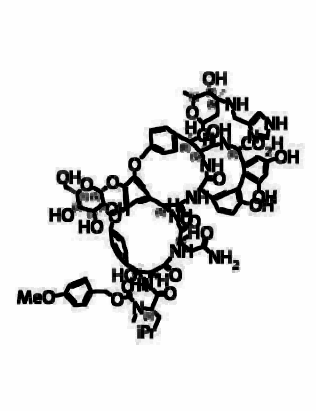 COc1ccc(COC(=O)N(C)[C@H](CC(C)C)C(=O)N[C@H]2C(=O)N[C@@H](CC(N)=O)C(=O)N[C@H]3C(=O)NC4C(=O)N[C@H](C(=O)N[C@@H](C(=O)O)c5cc(O)cc(O)c5-c5cc4ccc5O)[C@H](OC4C[C@](C)(NCc5c[nH]cn5)[C@@H](O)[C@H](C)O4)c4ccc(cc4)Oc4cc3cc(c4O[C@@H]3O[C@H](CO)[C@@H](O)[C@H](O)[C@H]3O)Oc3ccc(cc3)[C@H]2O)cc1